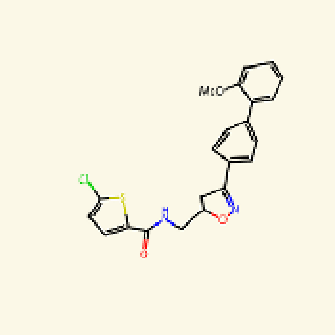 COc1ccccc1-c1ccc(C2=NOC(CNC(=O)c3ccc(Cl)s3)C2)cc1